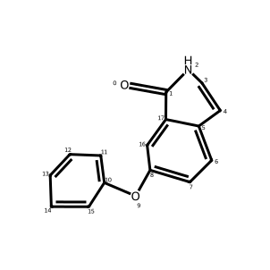 O=c1[nH]ccc2ccc(Oc3ccccc3)cc12